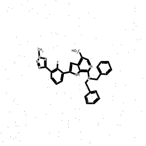 Cn1nnc(-c2cccc(-c3cc4c(C(=O)O)cnc(N(Cc5ccccc5)Cc5ccccc5)c4[nH]3)c2F)n1